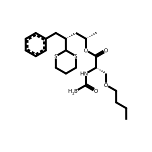 BC(=O)N[C@@H](COCCCC)C(=O)O[C@@H](C)C[C@@H](Cc1ccccc1)C1SCCCS1